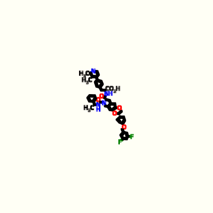 Cc1nccc(-c2ccc(C[C@H](NC(=O)[C@@H]3Cc4cc5c(cc4CN3C(=O)N[C@H](C)c3ccccc3)O[C@@H](c3ccc(OCc4cc(F)cc(F)c4)cc3)CO5)C(=O)O)cc2)c1C